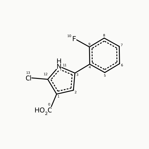 O=C(O)c1cc(-c2ccccc2F)[nH]c1Cl